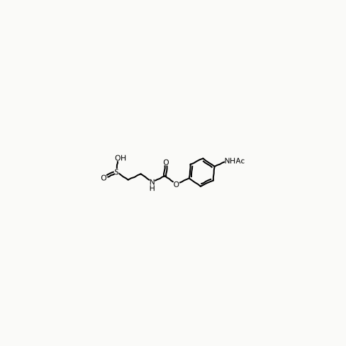 CC(=O)Nc1ccc(OC(=O)NCCS(=O)O)cc1